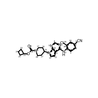 N#Cc1ccc(Nc2ncnc3c2ccn3C2CCN(C(=O)OC3CCC3)CC2)c(Cl)c1